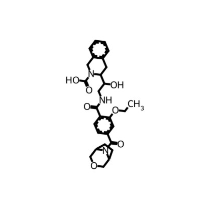 CCOc1cc(C(=O)N2C3CCC2COC3)ccc1C(=O)NCC(O)C1Cc2ccccc2CN1C(=O)O